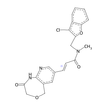 CN(Cc1oc2ccccc2c1Cl)C(=O)/C=C/c1cnc2c(c1)COCC(=O)N2